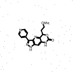 COCCC1OC(=O)Nc2cc3[nH]nc(-c4ccncc4)c3nc21